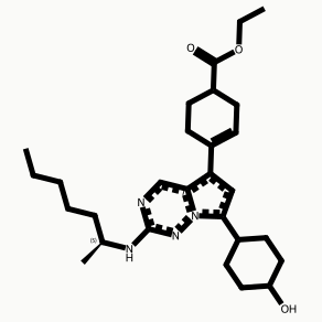 CCCCC[C@H](C)Nc1ncc2c(C3=CCC(C(=O)OCC)CC3)cc(C3CCC(O)CC3)n2n1